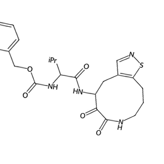 CC(C)C(NC(=O)OCc1ccccc1)C(=O)NC1Cc2cnsc2CCCNC(=O)C1=O